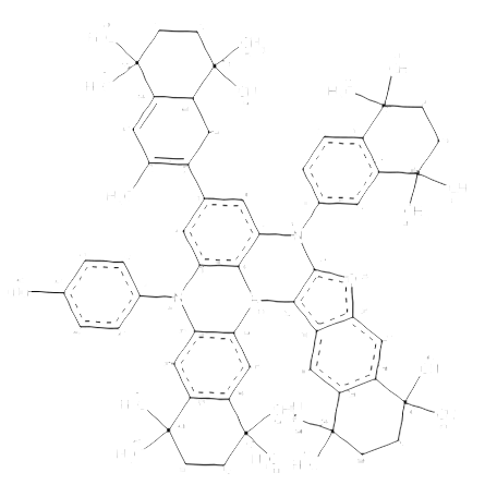 CC1=C(c2cc3c4c(c2)N(c2ccc5c(c2)C(C)(C)CCC5(C)C)c2oc5cc6c(cc5c2B4c2cc4c(cc2N3c2ccc(C(C)(C)C)cc2)C(C)(C)CCC4(C)C)C(C)(C)CCC6(C)C)CC2C(=C1)C(C)(C)CCC2(C)C